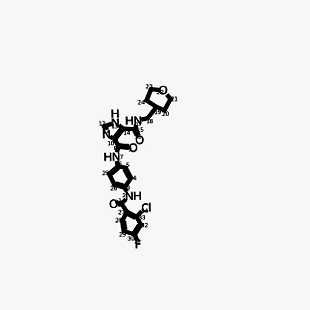 O=C(Nc1ccc(NC(=O)c2nc[nH]c2C(=O)NCC2CCOCC2)cc1)c1ccc(F)cc1Cl